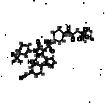 Cn1c(-c2ccnn2-c2ccc(C#N)cc2)c(C(=O)N[C@H]2CC[C@H](NC(=O)C[N+](C)(C)C)CC2)c(=O)n1-c1cccc(C(F)(F)F)c1